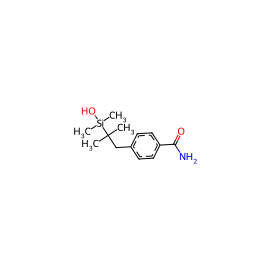 CC(C)(Cc1ccc(C(N)=O)cc1)[Si](C)(C)O